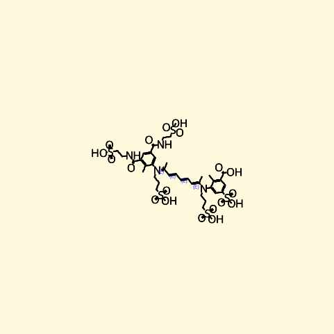 C\C(=C/C=C/C=C/C(C)=[N+](\CCCS(=O)(=O)O)c1cc(C(=O)NCCS(=O)(=O)O)cc(C(=O)NCCS(=O)(=O)O)c1C)N(CCCS(=O)(=O)O)c1cc(S(=O)(=O)O)cc(C(=O)O)c1C